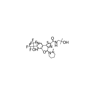 Cc1cc(C(O)(C(F)(F)F)C(F)(F)F)ncc1-c1sc(C(=O)NCC(C)(C)O)nc1C(=O)N1CCCC[C@@H]1C